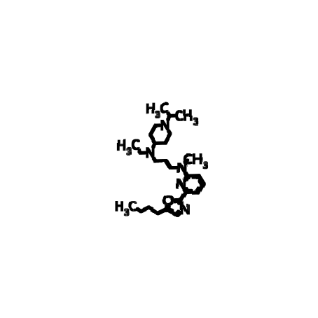 CCCCc1cnc(-c2cccc(N(C)CCCN(CC)C3CCN(C(C)C)CC3)n2)o1